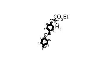 CCOC(=O)C(C)Oc1ccc(COc2ccc(F)cc2)cc1